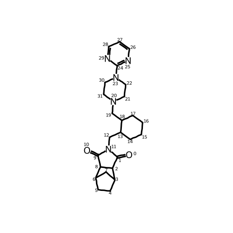 O=C1C2C3CCC(C3)C2C(=O)N1CC1CCCCC1CN1CCN(c2ncccn2)CC1